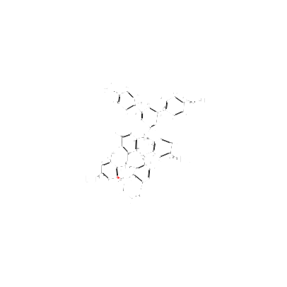 Cc1cc2c3c(c1)N(c1c(C)cc(C(C)(C)C)cc1C)c1c(ccc4c1OCCO4)B3c1cc(C(C)(C)C)ccc1N2c1cc(-c2ccc(C(C)(C)C)cc2)cc(-c2ccc(C(C)(C)C)cc2)c1